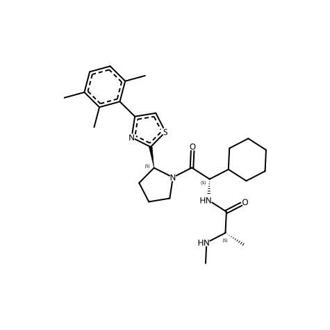 CN[C@@H](C)C(=O)N[C@H](C(=O)N1CCC[C@H]1c1nc(-c2c(C)ccc(C)c2C)cs1)C1CCCCC1